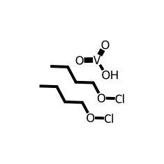 CCCCOCl.CCCCOCl.[O]=[V](=[O])[OH]